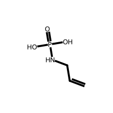 C=CCNP(=O)(O)O